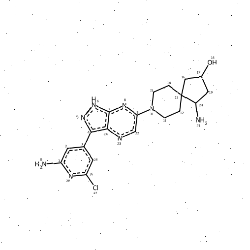 Nc1cc(-c2n[nH]c3nc(N4CCC5(CC4)CC(O)CC5N)cnc23)cc(Cl)n1